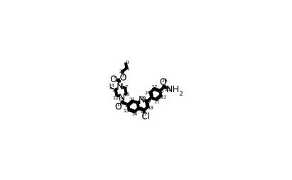 CCCOC(=O)N1CCN(C(=O)c2ccc3c(Cl)cc(-c4ccc(C(N)=O)cc4)nc3c2)C[C@H]1C